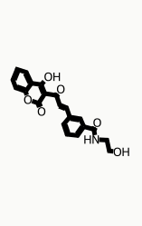 O=C(NCCO)c1cccc(/C=C/C(=O)c2c(O)c3ccccc3oc2=O)c1